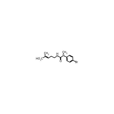 CC(=CCCNC(=O)N(C)c1ccc(Br)cc1)C(=O)O